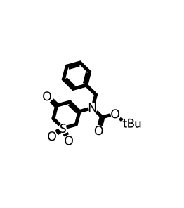 CC(C)(C)OC(=O)N(Cc1ccccc1)C1=CC(=O)CS(=O)(=O)C1